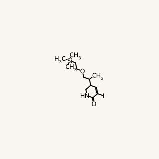 CC(COCC[Si](C)(C)C)C1C=C(I)C(=O)NC1